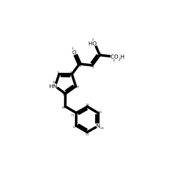 O=C(O)C(O)=CC(=O)c1c[nH]c(Cc2ccncc2)c1